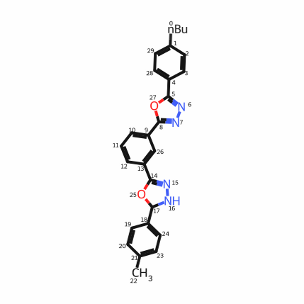 CCCCc1ccc(-c2nnc(-c3cccc(C4=NNC(c5ccc(C)cc5)O4)c3)o2)cc1